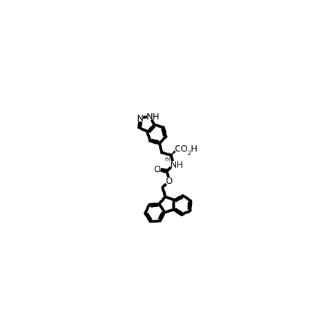 O=C(N[C@@H](Cc1ccc2[nH]ncc2c1)C(=O)O)OCC1c2ccccc2-c2ccccc21